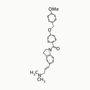 COc1ccc(COc2ccc(C(=O)N3CCc4cc(C=CCN(C)C)ccc43)cc2)cc1